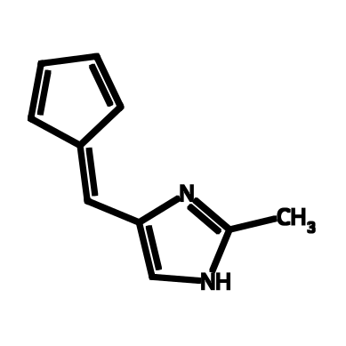 Cc1nc(C=C2C=CC=C2)c[nH]1